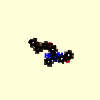 c1ccc(C2N=C(c3ccc4oc5ccccc5c4c3)NC(c3ccc4oc5ccc(-c6cccc7c6sc6ccccc67)cc5c4c3)N2)cc1